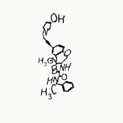 C[C@@H](NC(=O)C(=O)N[C@H]1COc2ccc(C#CCN3CC[C@@H](O)C3)cc2N(C)C1=O)c1ccccc1